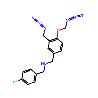 [N-]=[N+]=NCOc1ccc(CNCc2ccc(F)cc2)cc1CN=[N+]=[N-]